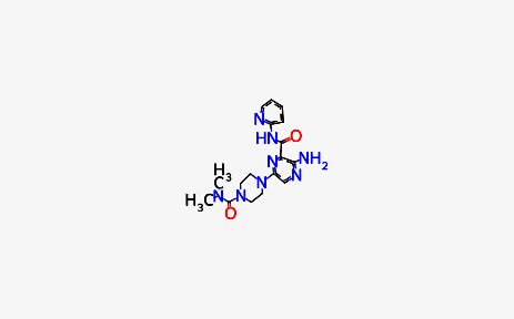 CN(C)C(=O)N1CCN(c2cnc(N)c(C(=O)Nc3ccccn3)n2)CC1